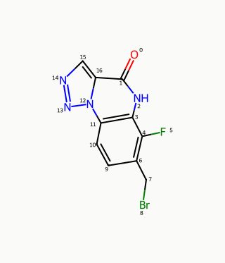 O=c1[nH]c2c(F)c(CBr)ccc2n2nncc12